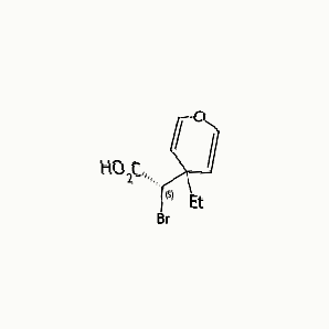 CCC1([C@H](Br)C(=O)O)C=COC=C1